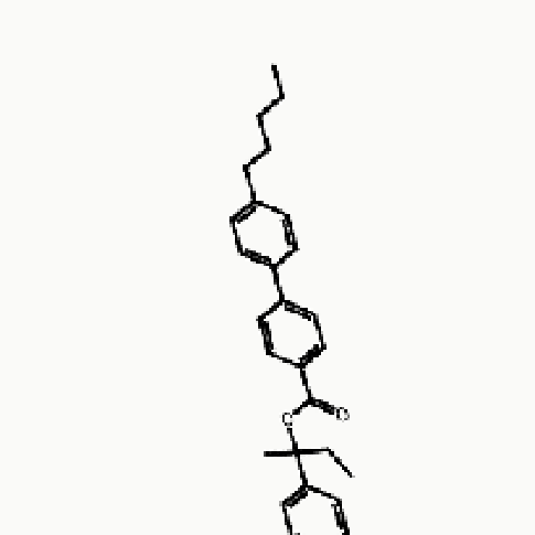 CCCCCc1ccc(-c2ccc(C(=O)OC(C)(CC)c3ccccc3)cc2)cc1